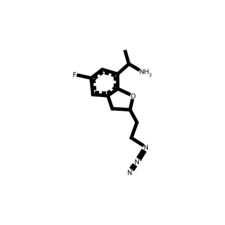 CC(N)c1cc(F)cc2c1OC(CCN=[N+]=[N-])C2